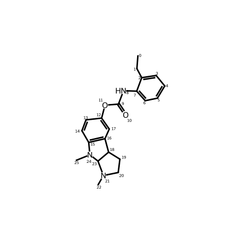 CCc1ccccc1NC(=O)Oc1ccc2c(c1)C1CCN(C)C1N2C